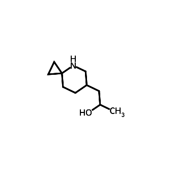 CC(O)CC1CCC2(CC2)NC1